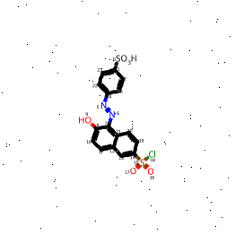 O=S(=O)(O)c1ccc(N=Nc2c(O)ccc3cc(S(=O)(=O)Cl)ccc23)cc1